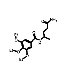 CCOc1cc(C(=O)NC(C)CCC(N)=O)cc(OCC)c1OCC